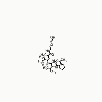 C/C(=C\[C@H](C(C)C)N(C)C(=O)[C@@H](NC(=O)C1CCCCN1C(C)C)C(C)C)C(=O)NCCOCCO